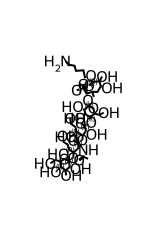 CC(=O)NC1C(O[C@@H]2OC(CO)[C@H](O)C(O)C2O)[C@@H](O)C(CO)O[C@H]1OC1C(O)[C@@H](O[C@H]2C(CO)O[C@@H](OCC3(C[N+](=O)[O-])CC(O)C(O)[C@H](OCCCCCN)O3)C(O)C2O)OC(CO)[C@@H]1O